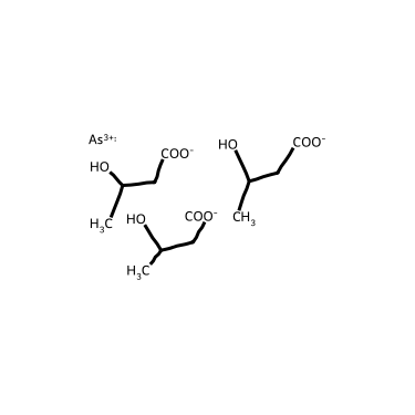 CC(O)CC(=O)[O-].CC(O)CC(=O)[O-].CC(O)CC(=O)[O-].[As+3]